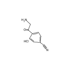 Cl.N#Cc1ccc(C(=O)CN)cc1